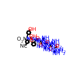 N#Cc1cc([N+](=O)[O-])c(N(Cc2ccc(O)cc2)C(O)C(=O)NC(C(=O)NC(NC(=N)N)C(=O)NC(NC(=N)N)C(=O)NC(NC(=N)N)C(=O)NC(NC(=N)N)C(N)=O)c2ccccc2)c([N+](=O)[O-])c1